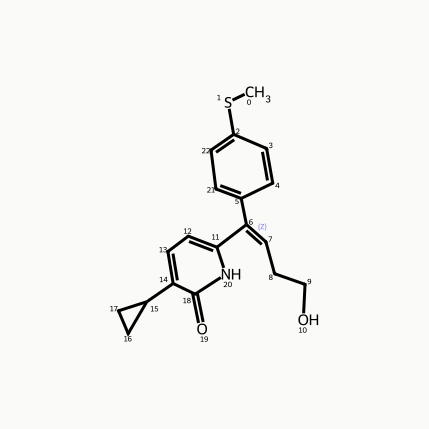 CSc1ccc(/C(=C/CCO)c2ccc(C3CC3)c(=O)[nH]2)cc1